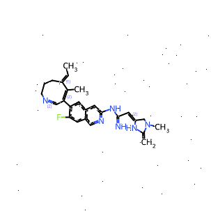 C=C1N/C(=C\C(=N)Nc2cc3cc(C4=C(C)/C(=C/C)CCC/N=C\4)c(F)cc3cn2)CN1C